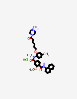 COc1cc(C(=O)N(C)c2ccc(C)cc2OCCCCCC(=O)N2CCN(C)CC2)ccc1C(=O)Nc1cccc2ccccc12.Cl